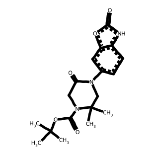 CC(C)(C)OC(=O)N1CC(=O)N(c2ccc3[nH]c(=O)oc3c2)CC1(C)C